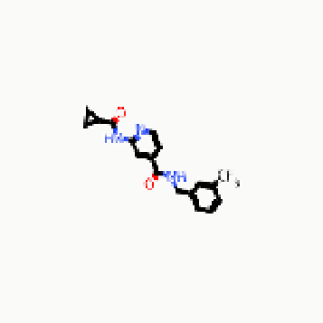 O=C(NCc1cccc(C(F)(F)F)c1)c1ccnc(NC(=O)C2CC2)c1